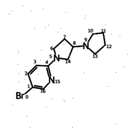 Brc1ccc(N2CCC(N3CCCC3)C2)nc1